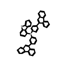 c1cc(-c2cc3ccccc3c3ccccc23)cc(N(c2ccc(-c3cc4ccccc4c4ccccc34)cc2)c2cccc3sc4ccccc4c23)c1